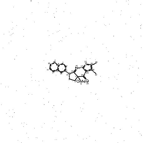 CO[C@@]12CCN(c3ccc4ncccc4c3)C1=Nc1sc(C)c(C)c1C2=O